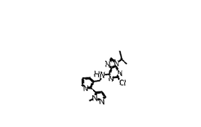 CC(C)n1cnc2c(NCc3cccnc3-c3ccnn3C)nc(Cl)nc21